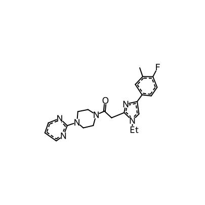 CCn1cc(-c2ccc(F)c(C)c2)nc1CC(=O)N1CCN(c2ncccn2)CC1